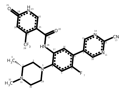 C[C@@H]1CN(c2cc(F)c(-c3cnc(C#N)nc3)cc2NC(=O)c2c[nH]c(=O)cc2C(F)(F)F)CCN1C